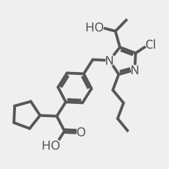 CCCCc1nc(Cl)c(C(C)O)n1Cc1ccc(C(C(=O)O)C2CCCC2)cc1